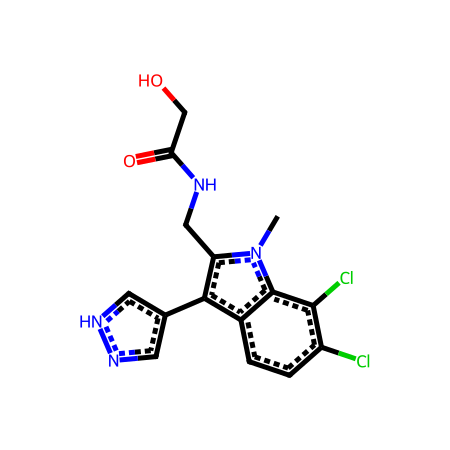 Cn1c(CNC(=O)CO)c(-c2cn[nH]c2)c2ccc(Cl)c(Cl)c21